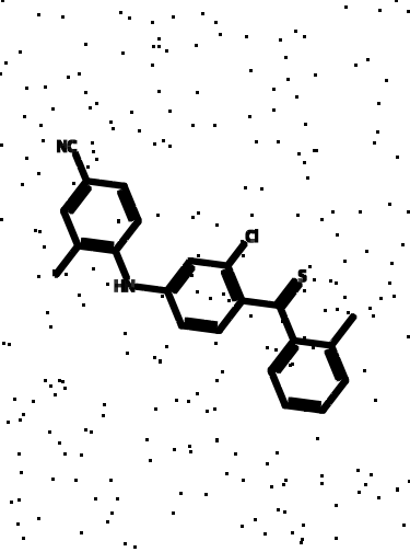 Cc1cc(C#N)ccc1Nc1ccc(C(=S)c2ccccc2C)c(Cl)c1